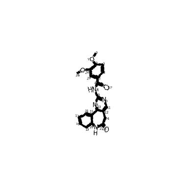 COc1ccc(C(=O)Nc2ncc3c(n2)-c2ccccc2NC(=O)C3)cc1OC